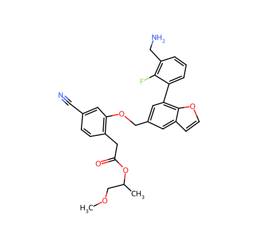 COCC(C)OC(=O)Cc1ccc(C#N)cc1OCc1cc(-c2cccc(CN)c2F)c2occc2c1